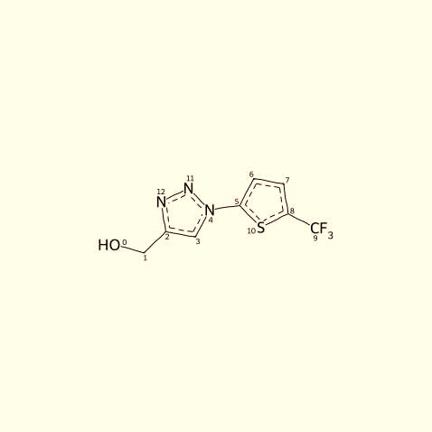 OCc1cn(-c2ccc(C(F)(F)F)s2)nn1